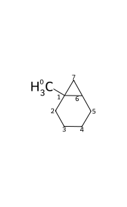 CC12CCCCC1C2